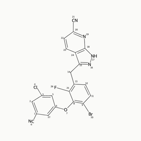 N#Cc1cc(Cl)cc(Oc2c(Br)ccc(Cc3n[nH]c4nc(C#N)ccc34)c2F)c1